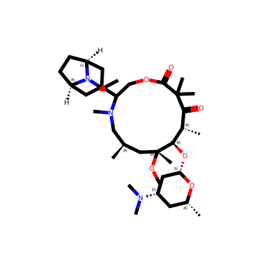 CCN1[C@@H]2CC[C@H]1CC(C1COC(=O)C(C)(C)C(=O)[C@H](C)[C@@H](O[C@H]3C[C@@H](N(C)C)C[C@@H](C)O3)[C@](C)(OC)C[C@@H](C)CN1C)C2